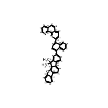 CC1(C)c2cc(-c3ccc(-c4ccc5ccc6cccnc6c5n4)c4ccccc34)ccc2-c2ccc3c(oc4ccccc43)c21